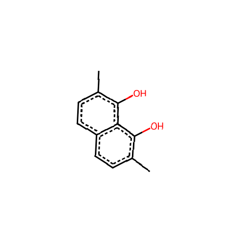 Cc1ccc2ccc(C)c(O)c2c1O